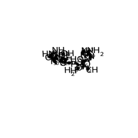 C#C[C@]1(COP)O[C@@H](n2cnc3c(N)ncnc32)[C@H](O)[C@@H]1CCPCC[C@H]1O[C@@H](n2cnc3c(=O)[nH]c(N)nc32)[C@H](OO)[C@H]1F